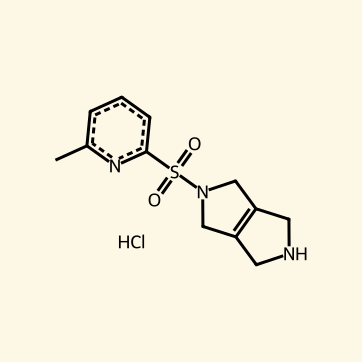 Cc1cccc(S(=O)(=O)N2CC3=C(CNC3)C2)n1.Cl